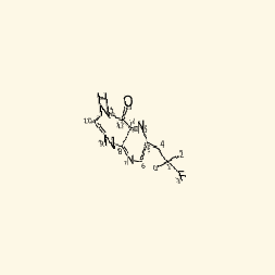 CC(C)(F)Cc1cnc2nc[nH]c(=O)c2n1